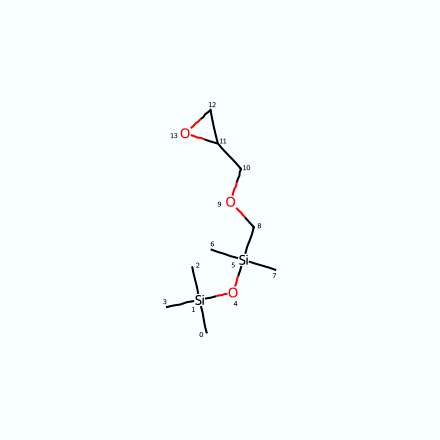 C[Si](C)(C)O[Si](C)(C)COCC1CO1